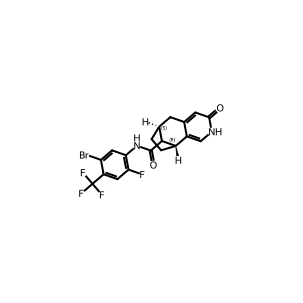 O=C(Nc1cc(Br)c(C(F)(F)F)cc1F)C1[C@H]2CC[C@H]1c1c[nH]c(=O)cc1C2